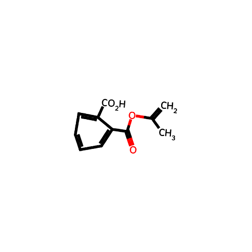 C=C(C)OC(=O)c1ccccc1C(=O)O